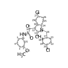 COc1cccc(NC(=O)C(=O)c2c(C)n(Cc3ccc(Cl)cc3)c3ccc(Cl)cc23)c1